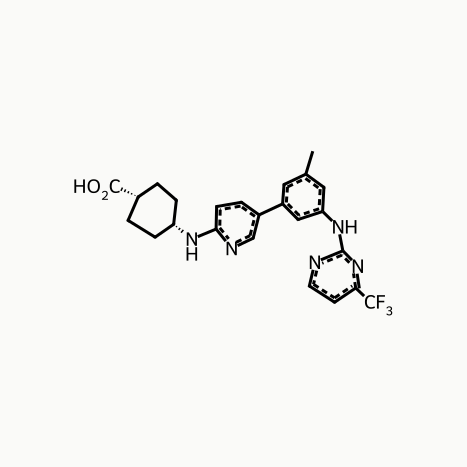 Cc1cc(Nc2nccc(C(F)(F)F)n2)cc(-c2ccc(N[C@H]3CC[C@@H](C(=O)O)CC3)nc2)c1